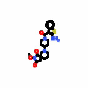 CON1C(=O)CC2(CCCN(C3CCN(C(=O)c4c(N)sc5ccccc45)CC3)C2)C1=O